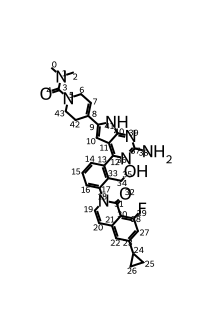 CN(C)C(=O)N1CC=C(c2cc3c(-c4cccc(-n5ccc6cc(C7CC7)cc(F)c6c5=O)c4CO)nc(N)nc3[nH]2)CC1